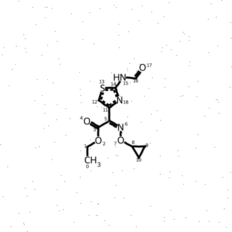 CCOC(=O)C(=NOC1CC1)c1csc(NC=O)n1